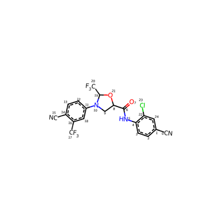 N#Cc1ccc(NC(=O)C2CN(c3ccc(C#N)c(C(F)(F)F)c3)C(C(F)(F)F)O2)c(Cl)c1